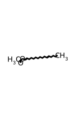 CCCCC=CCCCCCCCCC=COC(C)=O